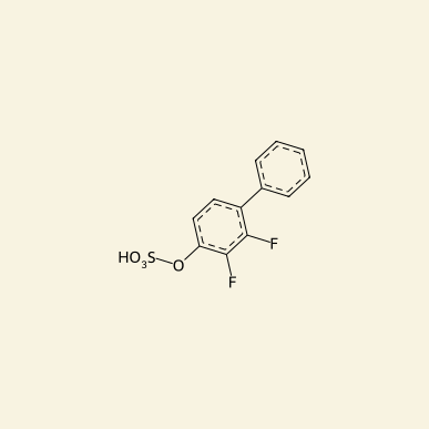 O=S(=O)(O)Oc1ccc(-c2ccccc2)c(F)c1F